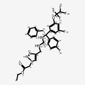 CCOC(=O)Cn1cc(CNC(=O)N[C@](Cc2ccccc2)(c2ccc(F)cc2)c2cc(F)cc(OC(F)(F)C(F)F)c2)nn1